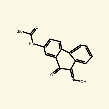 CC(C)(C)C(=O)Nc1ccc2c(c1)C(=O)/C(=N/O)c1ccccc1-2